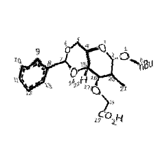 CCCCO[C@H]1OC2COC(c3ccccc3)O[C@H]2[C@H](OCC(=O)O)C1C